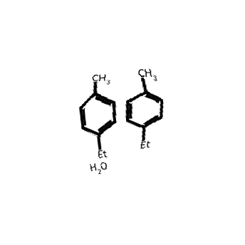 CCc1ccc(C)cc1.CCc1ccc(C)cc1.O